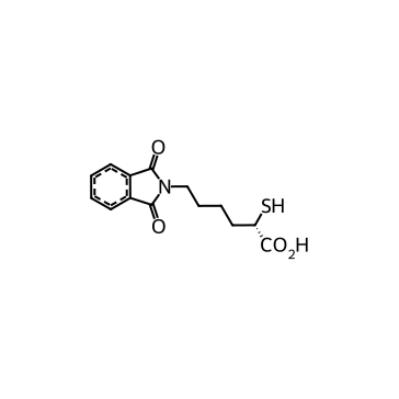 O=C(O)[C@@H](S)CCCCN1C(=O)c2ccccc2C1=O